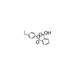 CCc1ccc(OC(=O)c2ccccc2C(=O)O)cc1